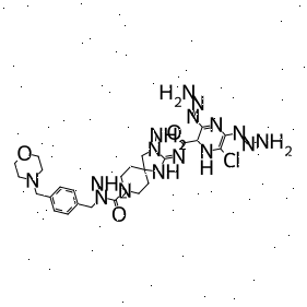 NN=NC1=NC(N=NN)=C(Cl)NC1C(=O)/N=C1/NC2(CCN(C(=O)N(N)Cc3ccc(CN4CCOCC4)cc3)CC2)CN1N